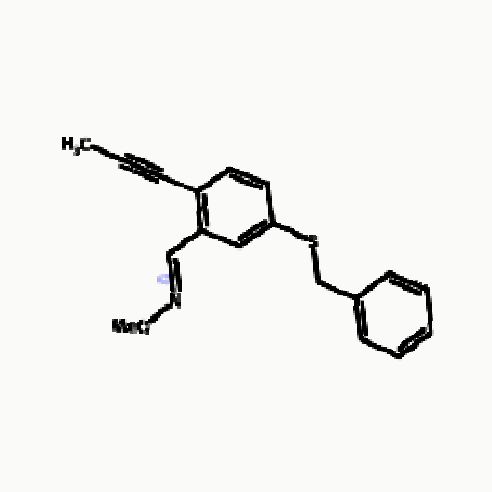 CC#Cc1ccc(SCc2ccccc2)cc1/C=N/OC